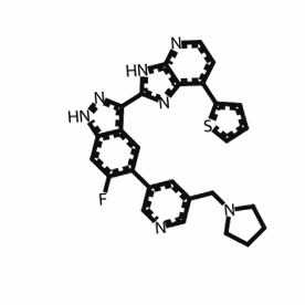 Fc1cc2[nH]nc(-c3nc4c(-c5cccs5)ccnc4[nH]3)c2cc1-c1cncc(CN2CCCC2)c1